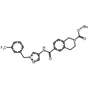 CC(C)(C)OC(=O)N1CCc2cc(C(=O)Nc3cnn(Cc4cccc(C(F)(F)F)c4)c3)ccc2C1